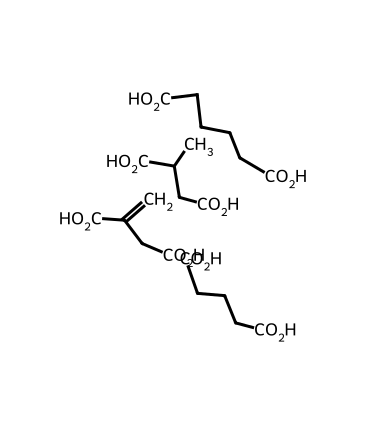 C=C(CC(=O)O)C(=O)O.CC(CC(=O)O)C(=O)O.O=C(O)CCCC(=O)O.O=C(O)CCCCC(=O)O